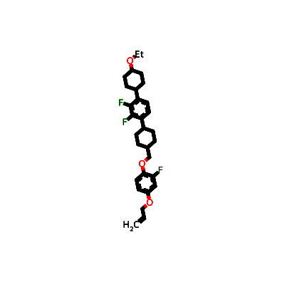 C=CCOc1ccc(OCC2CCC(c3ccc(C4CCC(OCC)CC4)c(F)c3F)CC2)c(F)c1